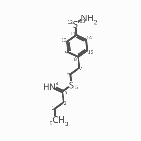 CCCC(=N)SCCc1ccc(SN)cc1